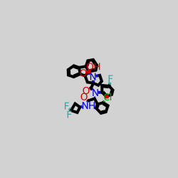 O=C(NC1CC(F)(F)C1)[C@@H](c1ccccc1Cl)N(C(=O)C1(CC2c3ccccc3-c3ccccc32)CCCN1C(=O)O)c1cccc(F)c1